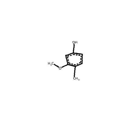 COc1cc(O)ccc1C